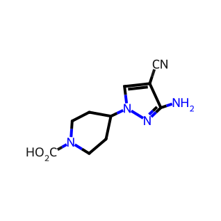 N#Cc1cn(C2CCN(C(=O)O)CC2)nc1N